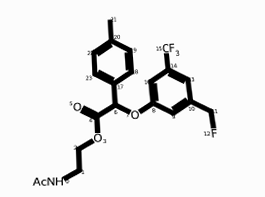 CC(=O)NCCOC(=O)C(Oc1cc(CF)cc(C(F)(F)F)c1)c1ccc(C)cc1